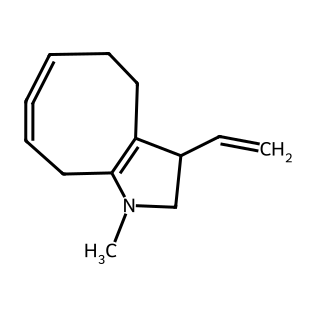 C=CC1CN(C)C2=C1CCC=C=CC2